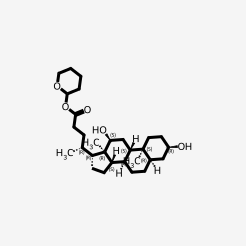 C[C@H](CCC(=O)OC1CCCCO1)[C@H]1CC[C@H]2[C@@H]3CC[C@@H]4C[C@H](O)CC[C@]4(C)[C@H]3C[C@H](O)[C@]12C